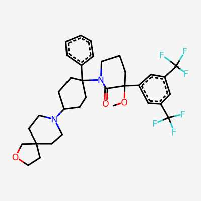 COC1(c2cc(C(F)(F)F)cc(C(F)(F)F)c2)CCCN(C2(c3ccccc3)CCC(N3CCC4(CCOC4)CC3)CC2)C1=O